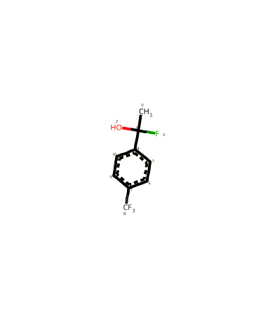 CC(O)(F)c1ccc(C(F)(F)F)cc1